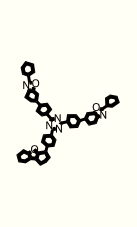 c1ccc(-c2nc3ccc(-c4ccc(-c5nc(-c6ccc(-c7ccc8nc(-c9ccccc9)oc8c7)cc6)nc(-c6ccc(-c7cccc8c7oc7ccccc78)cc6)n5)cc4)cc3o2)cc1